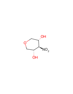 O=[N+]([O-])[C@H]1[C@H](O)COC[C@@H]1O